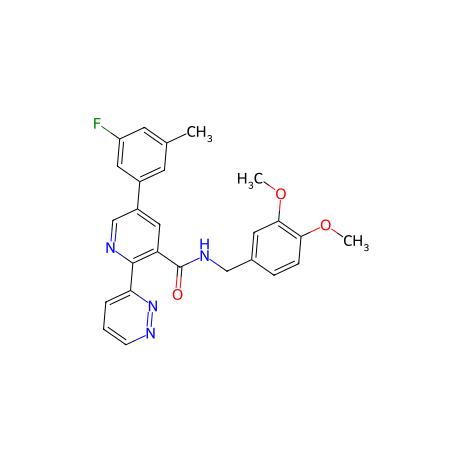 COc1ccc(CNC(=O)c2cc(-c3cc(C)cc(F)c3)cnc2-c2cccnn2)cc1OC